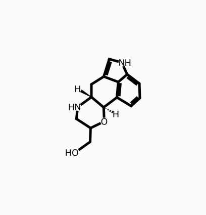 OCC1CN[C@@H]2Cc3c[nH]c4cccc(c34)[C@H]2O1